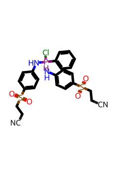 N#CCCS(=O)(=O)c1ccc(N[PH](Cl)(Nc2ccc(S(=O)(=O)CCC#N)cc2)c2ccccc2)cc1